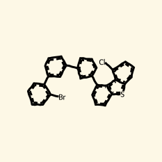 Clc1cccc2sc3cccc(-c4cccc(-c5cccc(-c6ccccc6Br)c5)c4)c3c12